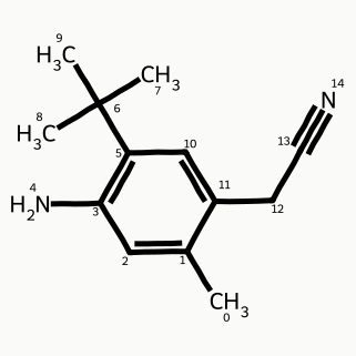 Cc1cc(N)c(C(C)(C)C)cc1CC#N